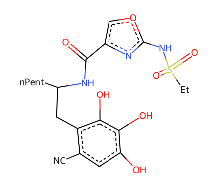 CCCCCC(Cc1c(C#N)cc(O)c(O)c1O)NC(=O)c1coc(NS(=O)(=O)CC)n1